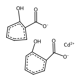 O=C([O-])c1ccccc1O.O=C([O-])c1ccccc1O.[Cd+2]